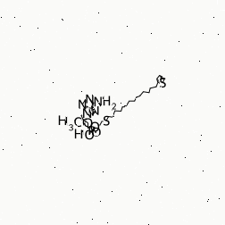 C[C@H](Cn1cnc2c(N)ncnc21)OCP(=O)(O)OCCSCCCCCCCCCCCCCCc1cccs1